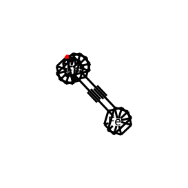 C(#C[C]12[CH]3[CH]4[CH]5[CH]1[Fe]45321678[CH]2[CH]1[CH]6[C]7(C#C[C]13[CH]4[CH]5[CH]6[CH]1[Fe]5643179%10[CH]3[CH]1[CH]7[CH]9[CH]3%10)[CH]28)[C]12[CH]3[CH]4[CH]5[CH]1[Fe]45321678[CH]2[CH]1[CH]6[CH]7[CH]28